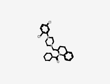 O=C(C1CCCCC1)N1c2ccccc2CCC1CN1CCN(c2cc(Cl)ccc2Cl)CC1